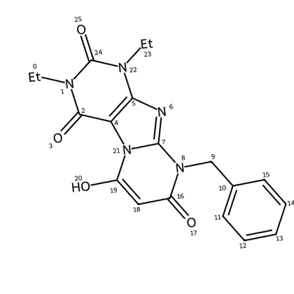 CCn1c(=O)c2c(nc3n(Cc4ccccc4)c(=O)cc(O)n23)n(CC)c1=O